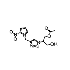 CC(=O)OCC(CO)n1cc(Cn2cccc2[N+](=O)[O-])nn1